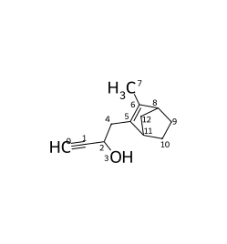 C#CC(O)CC1=C(C)C2CCC1C2